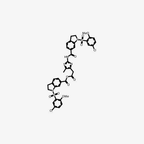 COc1ccc(Cl)cc1S(=O)(=O)N1CCc2ccc(C(=O)Nc3nc(CC(=O)OC(=O)c4ccc5c(c4)N(S(=O)(=O)c4cc(Cl)ccc4OC)CC5)c(C)s3)cc21